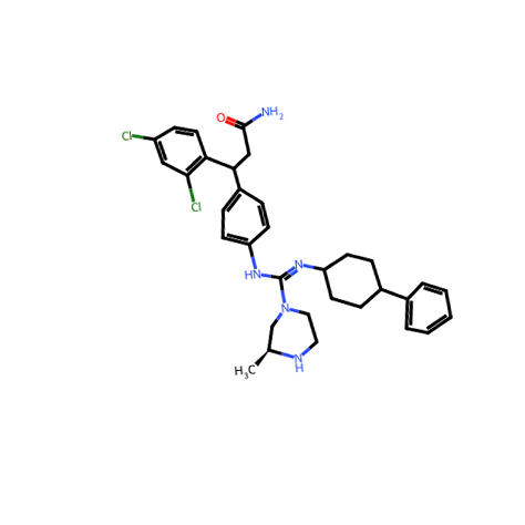 C[C@H]1CN(/C(=N\C2CCC(c3ccccc3)CC2)Nc2ccc(C(CC(N)=O)c3ccc(Cl)cc3Cl)cc2)CCN1